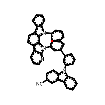 N#Cc1ccc2c(c1)c1ccccc1n2-c1cccc(-c2cccc(-n3c4ncccc4c4ccc5c6ccccc6n(-c6ccccc6)c5c43)c2)c1